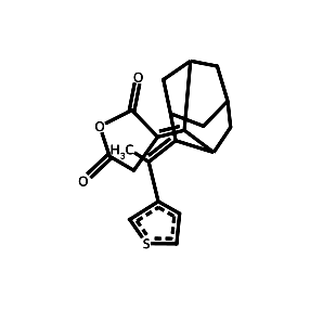 CC(=C1C2CC3CC(C2)C(=C2CC(=O)OC2=O)C1C3)c1ccsc1